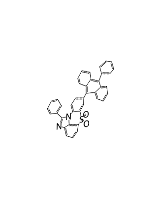 O=S1(=O)c2cc(-c3c4ccccc4c(-c4ccccc4)c4ccccc34)ccc2-n2c(-c3ccccc3)nc3cccc1c32